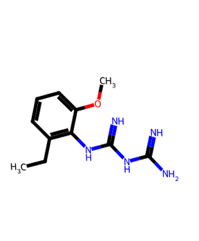 CCc1cccc(OC)c1NC(=N)NC(=N)N